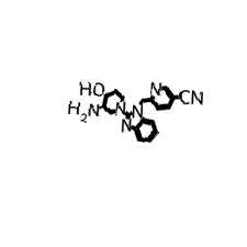 N#Cc1ccc(Cn2c(N3CC[C@@H](O)[C@H](N)C3)nc3ccccc32)nc1